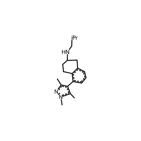 Cc1nn(C)c(C)c1-c1cccc2c1CCC(NCC(C)C)C2